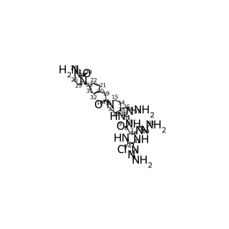 NN=NC1=C(Cl)NC(C(=O)NC2NC3(CCN(C(=O)Cc4ccc(N5CCN(N)C5=O)cc4)CC3)CN2N)C(N=NN)N1